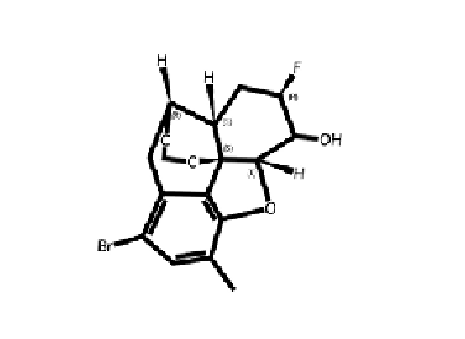 Cc1cc(Br)c2c3c1O[C@H]1C(O)[C@H](F)C[C@H]4[C@H](CCC[C@]314)C2